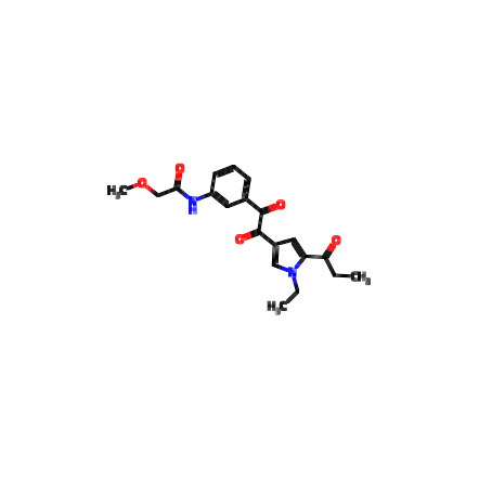 CCC(=O)c1cc(C(=O)C(=O)c2cccc(NC(=O)COC)c2)cn1CC